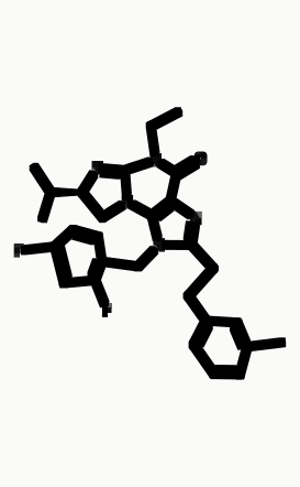 CCN1C(=O)c2nc(CCc3cccc(C)c3)n(Cc3ccc(F)cc3F)c2N2C[C@@H](C(C)C)N=C12